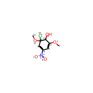 COC1=CC([N+](=O)[O-])=CC(Cl)(OC)C1O